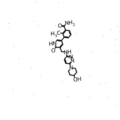 Cc1c(C(N)=O)cccc1-c1c[nH]c(=O)c(CNc2ccc(N3CCC(O)CC3)nn2)c1